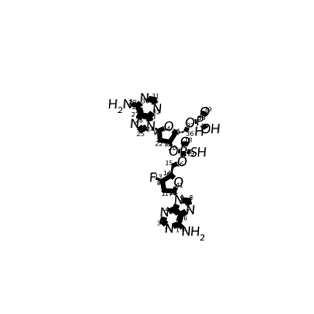 Nc1ncnc2c1ncn2[C@H]1C[C@@H](F)[C@@H](COP(=O)(S)O[C@H]2C[C@H](n3cnc4c(N)ncnc43)O[C@@H]2CO[PH](=O)O)O1